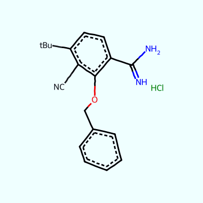 CC(C)(C)c1ccc(C(=N)N)c(OCc2ccccc2)c1C#N.Cl